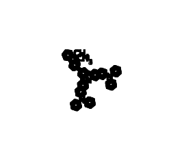 CC1(C)c2ccccc2-c2ccc(-c3cc4c5cc6ccc(N(c7ccccc7)c7ccccc7)cc6cc5n5c6cc7cc(N(c8ccccc8)c8ccccc8)ccc7cc6c(c3)c45)cc21